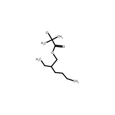 CCCCC(CC)COC(=O)C(C)(C)Cl